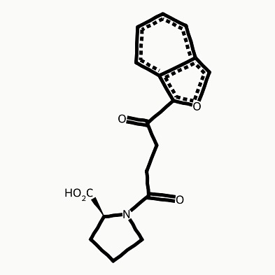 O=C(CCC(=O)N1CCC[C@H]1C(=O)O)c1occ2ccccc12